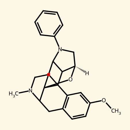 COc1ccc2c(c1)C13CCN(C)C(C2)C12CCC1C3[C@@H](CN1c1ccccc1)O2